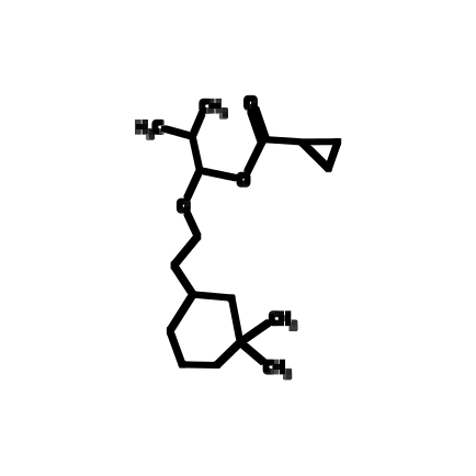 CC(C)C(OCCC1CCCC(C)(C)C1)OC(=O)C1CC1